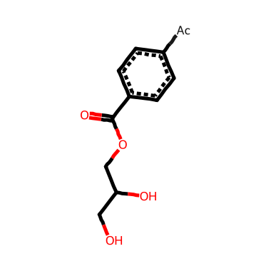 CC(=O)c1ccc(C(=O)OCC(O)CO)cc1